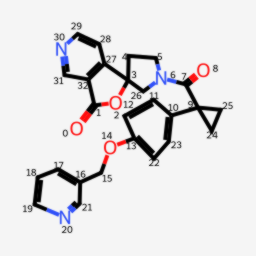 O=C1OC2(CCN(C(=O)C3(c4ccc(OCc5cccnc5)cc4)CC3)C2)c2ccncc21